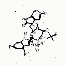 [2H]C([2H])([2H])N(C(=O)c1cc2c(F)cc(F)cc2[nH]1)[C@@H](CC(C)(C)F)C(=O)N1C[C@]2(C[C@H]1C#N)C(=O)Nc1ccc(Cl)cc12